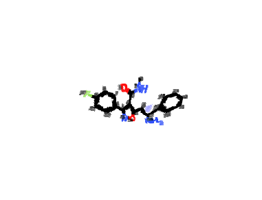 CNC(=O)c1c(-c2ccc(F)cc2)noc1/C=C(\N)c1ccccc1